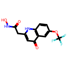 O=C(Cc1cc(=O)c2cc(OC(F)(F)F)ccc2[nH]1)NO